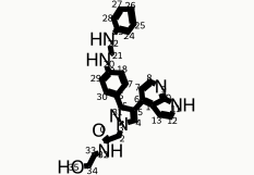 O=C(Cn1cc(-c2ccnc3[nH]ccc23)c(-c2ccc(NCNc3ccccc3)cc2)n1)NCCO